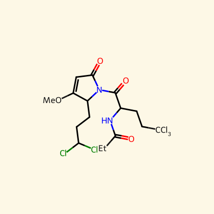 CCC(=O)NC(CCC(Cl)(Cl)Cl)C(=O)N1C(=O)C=C(OC)C1CCC(Cl)Cl